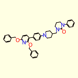 O=C1N(CC2CCN(c3ccc(-c4ccc(OCc5ccccc5)nc4OCc4ccccc4)cc3)CC2)CCCN1c1ccccc1